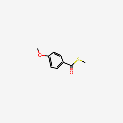 COc1ccc(C(=O)SC)cc1